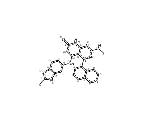 CNc1nc(-c2cccc3cnccc23)c2c(Nc3ccc4sc(C)nc4c3)cc(=O)[nH]c2n1